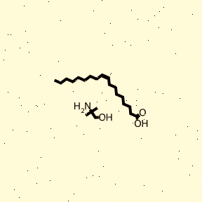 CC(C)(N)CO.CCCCCCCC/C=C\CCCCCCCC(=O)O